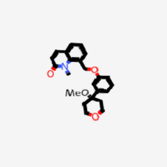 COC1(c2cccc(OCc3cccc4ccc(=O)n(C)c34)c2)CCOCC1